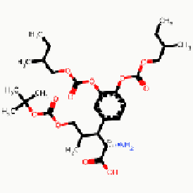 CCC(C)COC(=O)Oc1ccc(C(C(C)COC(=O)OC(C)(C)C)[C@H](N)C(=O)O)cc1OC(=O)OCC(C)CC